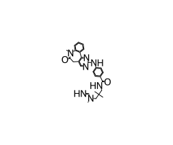 CN(C=N)CC(C)(C)CNC(=O)c1ccc(Nc2ncc3c(n2)-c2ccccc2N(C)C(=O)C3)cc1